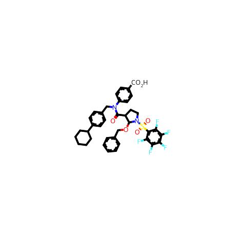 O=C(O)c1ccc(N(Cc2ccc(C3CCCCC3)cc2)C(=O)C2CCN(S(=O)(=O)c3c(F)c(F)c(F)c(F)c3F)C2OCc2ccccc2)cc1